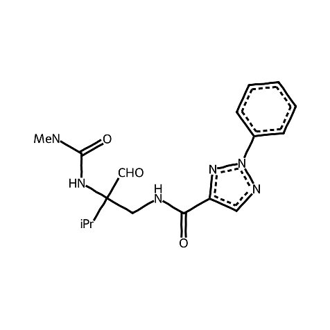 CNC(=O)NC(C=O)(CNC(=O)c1cnn(-c2ccccc2)n1)C(C)C